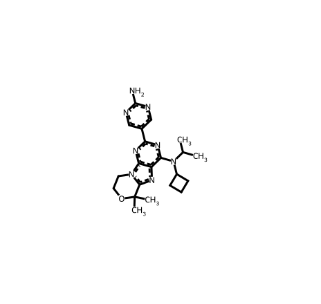 CC(C)N(c1nc(-c2cnc(N)nc2)nc2c1nc1n2CCOC1(C)C)C1CCC1